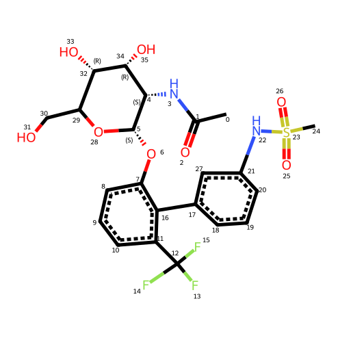 CC(=O)N[C@@H]1[C@H](Oc2cccc(C(F)(F)F)c2-c2cccc(NS(C)(=O)=O)c2)OC(CO)[C@H](O)[C@@H]1O